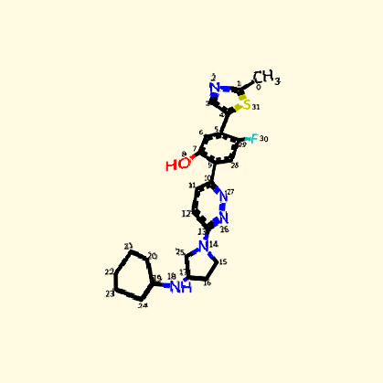 Cc1ncc(-c2cc(O)c(-c3ccc(N4CCC(NC5CCCCC5)C4)nn3)cc2F)s1